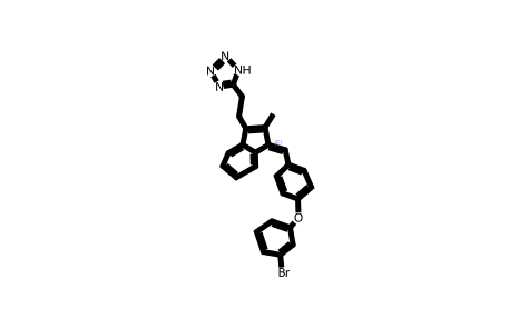 CC1=C(CCc2nnn[nH]2)c2ccccc2/C1=C\c1ccc(Oc2cccc(Br)c2)cc1